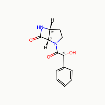 O=C1N[C@@H]2CCN(C(=O)[C@H](O)c3ccccc3)[C@H]12